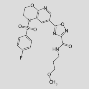 COCCCNC(=O)c1noc(-c2cnc3c(c2)N(S(=O)(=O)c2ccc(F)cc2)CCO3)n1